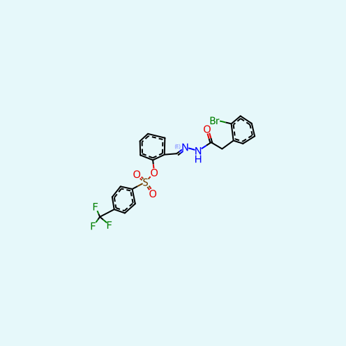 O=C(Cc1ccccc1Br)N/N=C/c1ccccc1OS(=O)(=O)c1ccc(C(F)(F)F)cc1